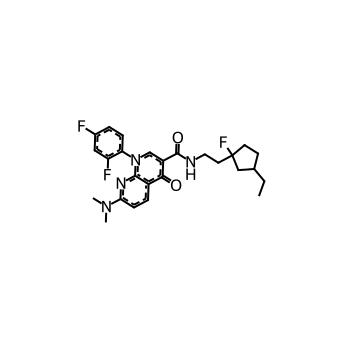 CCC1CCC(F)(CCNC(=O)c2cn(-c3ccc(F)cc3F)c3nc(N(C)C)ccc3c2=O)C1